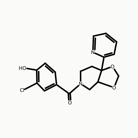 O=C(c1ccc(O)c(Cl)c1)N1CCC2(c3ccccn3)OCOC2C1